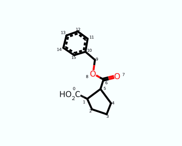 O=C(O)C1CCCC1C(=O)OCc1ccccc1